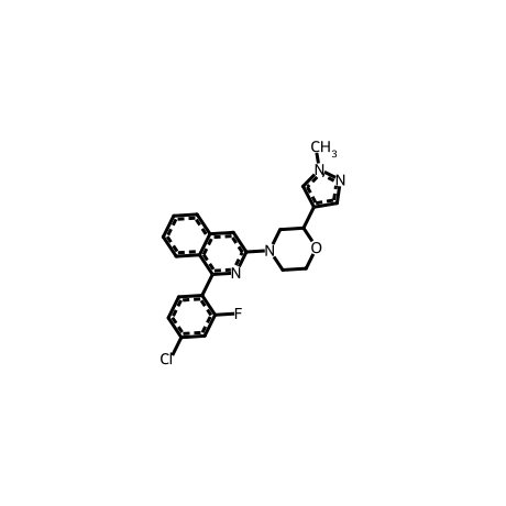 Cn1cc(C2CN(c3cc4ccccc4c(-c4ccc(Cl)cc4F)n3)CCO2)cn1